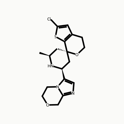 C[C@H]1C[C@@]2(C[C@@H](c3cnc4n3CCOC4)N1)OCCc1cc(Cl)sc12